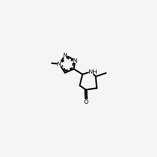 CC1CC(=O)CC(c2cn(C)nn2)N1